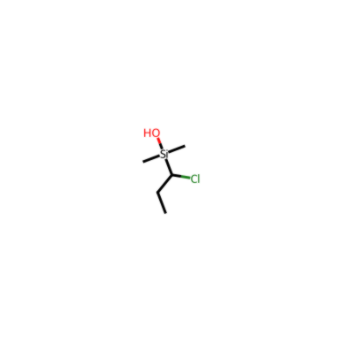 CCC(Cl)[Si](C)(C)O